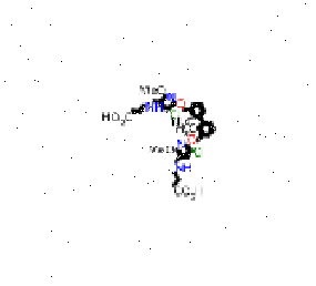 COc1nc(OCc2cccc(-c3cccc(COc4nc(OC)c(CNCCCC(=O)O)cc4Cl)c3C)c2C)c(Cl)cc1CNCCCC(=O)O